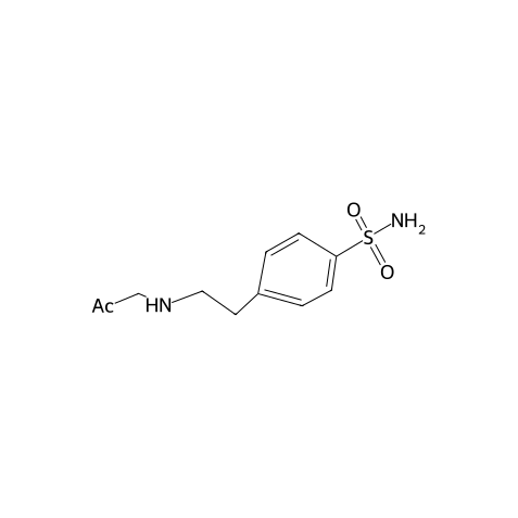 CC(=O)CNCCc1ccc(S(N)(=O)=O)cc1